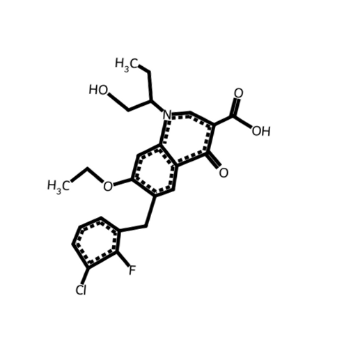 CCOc1cc2c(cc1Cc1cccc(Cl)c1F)c(=O)c(C(=O)O)cn2C(CC)CO